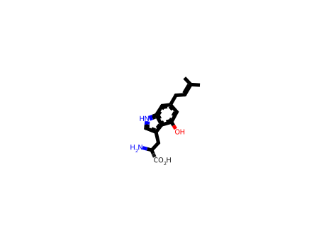 CC(C)=CCc1cc(O)c2c(CC(N)C(=O)O)c[nH]c2c1